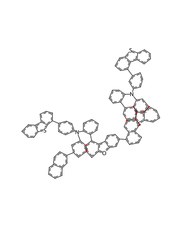 c1cc(-c2ccc3c(-c4ccc5c(c4)oc4cccc(-c6ccccc6N(c6ccc(-c7cccc8c7sc7ccccc78)cc6)c6cccc(-c7ccc8ccccc8c7)c6)c45)cccc3c2)cc(N(c2cccc(-c3cccc4sc5ccccc5c34)c2)c2ccccc2-c2ccc3sc4ccccc4c3c2)c1